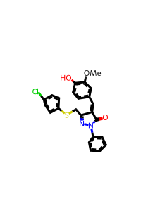 COc1cc(/C=C2/C(=O)N(c3ccccc3)N=C2CSc2ccc(Cl)cc2)ccc1O